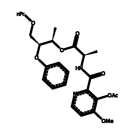 CCCOC[C@@H](Oc1ccccc1)[C@H](C)OC(=O)[C@H](C)NC(=O)c1nccc(OC)c1OC(C)=O